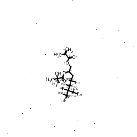 C=C(C)C(=O)OCC(CC(F)(F)C(F)(F)C(F)(C(F)(F)F)C(F)(F)F)OC(=O)C(C)(C)C